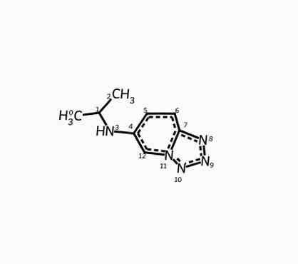 CC(C)Nc1ccc2nnnn2c1